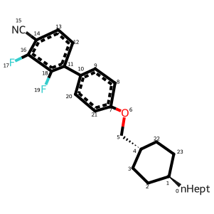 CCCCCCC[C@H]1CC[C@H](COc2ccc(-c3ccc(C#N)c(F)c3F)cc2)CC1